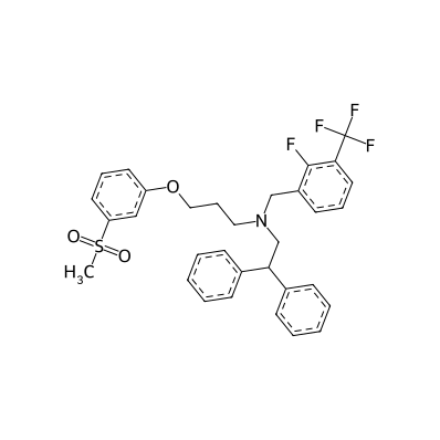 CS(=O)(=O)c1cccc(OCCCN(Cc2cccc(C(F)(F)F)c2F)CC(c2ccccc2)c2ccccc2)c1